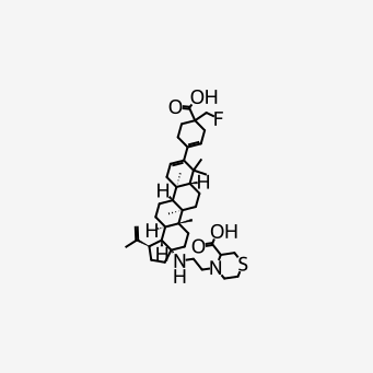 C=C(C)[C@@H]1CC[C@]2(NCCN3CCSCC3C(=O)O)CC[C@]3(C)[C@H](CC[C@@H]4[C@@]5(C)CC=C(C6=CCC(CF)(C(=O)O)CC6)C(C)(C)[C@@H]5CC[C@]43C)[C@@H]12